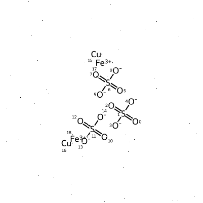 O=S(=O)([O-])[O-].O=S(=O)([O-])[O-].O=S(=O)([O-])[O-].[Cu].[Cu].[Fe+3].[Fe+3]